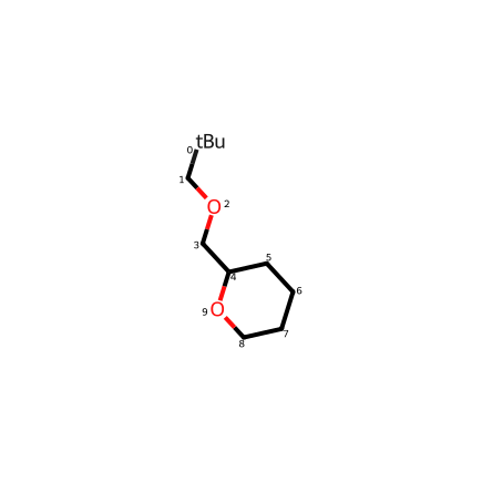 CC(C)(C)COCC1CCCCO1